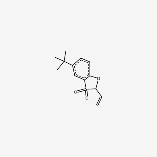 C=CC1Oc2ccc(C(C)(C)C)cc2S1(=O)=O